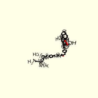 CC(=O)N[C@@H](CCCCN)C(=O)NCC(=O)N[C@@H](CCC(=O)O)C(=O)Nc1ccc(COC(=O)NC23CC(Cc4ccc([C@H]5O[C@@H]6C[C@H]7[C@@H]8CCC9=CC(=O)C=C[C@]9(C)[C@H]8[C@@H](O)C[C@]7(C)[C@]6(C(=O)CO)O5)cc4)(C2)C3)cc1